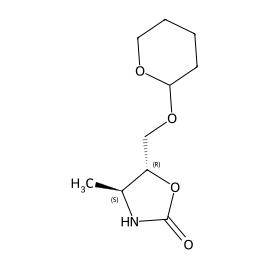 C[C@@H]1NC(=O)O[C@H]1COC1CCCCO1